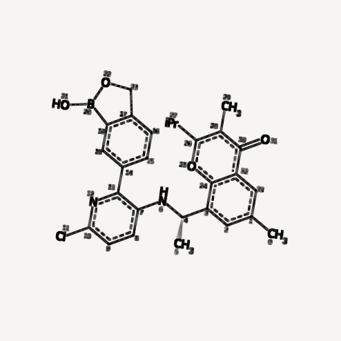 Cc1cc([C@H](C)Nc2ccc(Cl)nc2-c2ccc3c(c2)B(O)OC3)c2oc(C(C)C)c(C)c(=O)c2c1